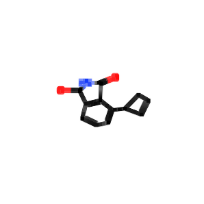 O=C1NC(=O)c2c1cccc2C1C=CC1